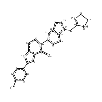 O=c1c2cc(-c3ccc(Cl)cc3)oc2ccn1-c1ccc2c(cnn2CC2=NCCN2)c1